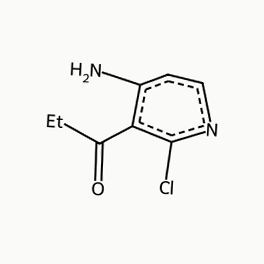 CCC(=O)c1c(N)ccnc1Cl